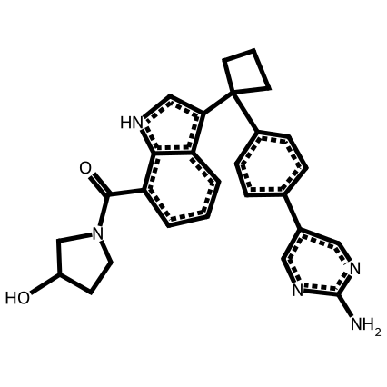 Nc1ncc(-c2ccc(C3(c4c[nH]c5c(C(=O)N6CCC(O)C6)cccc45)CCC3)cc2)cn1